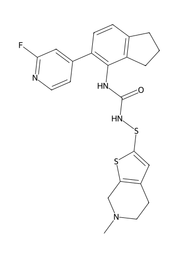 CN1CCc2cc(SNC(=O)Nc3c(-c4ccnc(F)c4)ccc4c3CCC4)sc2C1